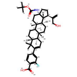 C=C(CO)[C@@H]1CC[C@]2(NC(=O)OC(C)(C)C)CC[C@]3(C)[C@H](CC[C@@H]4[C@@]5(C)CC=C(c6ccc(C(=O)O)c(F)c6)C(C)(C)[C@@H]5CC[C@]43C)[C@@H]12